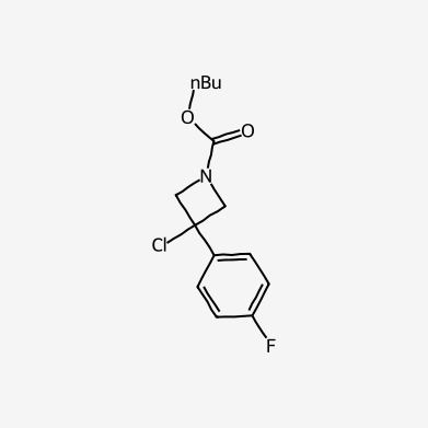 CCCCOC(=O)N1CC(Cl)(c2ccc(F)cc2)C1